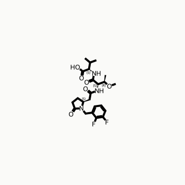 CO[C@H](C)[C@H](NC(=O)C[C@@H]1CCC(=O)N1Cc1cccc(F)c1F)C(=O)N[C@H](C(=O)O)C(C)C